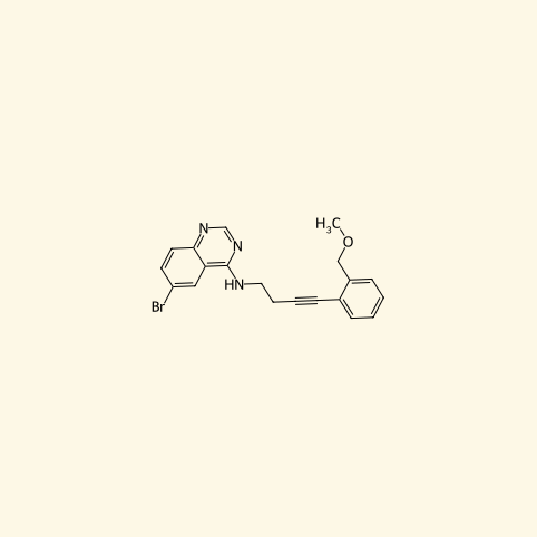 COCc1ccccc1C#CCCNc1ncnc2ccc(Br)cc12